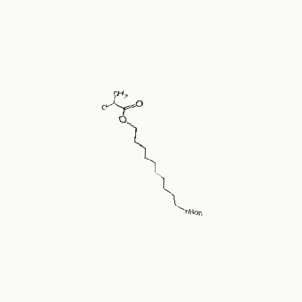 CCCCCCCCCCCCCCCCCCCOC(=O)C(C)Cl